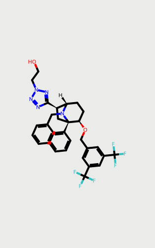 OCCn1nnc([C@@H]2C[C@@]3(c4ccccc4)[C@H](OCc4cc(C(F)(F)F)cc(C(F)(F)F)c4)CC[C@@H]2N3Cc2ccccc2)n1